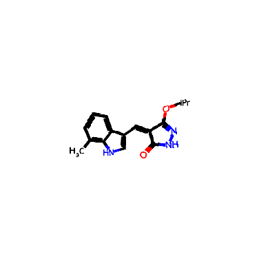 Cc1cccc2c(/C=C3\C(=O)NN=C3OC(C)C)c[nH]c12